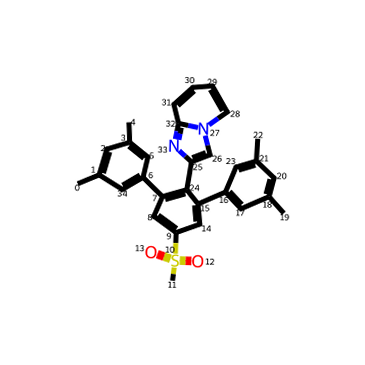 Cc1cc(C)cc(-c2cc(S(C)(=O)=O)cc(-c3cc(C)cc(C)c3)c2-c2cn3ccccc3n2)c1